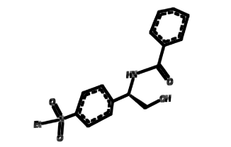 CCS(=O)(=O)c1ccc([C@H](CO)NC(=O)c2ccccc2)cc1